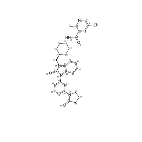 Cc1ncc(Cl)cc1C(=O)N[C@H]1CC[C@H](Cn2c(=O)n(-c3cccc(N4CCCC4=O)n3)c3ccccc32)CC1